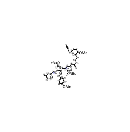 C#CC[C@@H]1C=C[C@H](OC)[C@@H](CCCC(=C)CC(/C=C/C[C@H](OCc2ccc(OC)cc2)[C@H](/C=C/[C@@H]2CC(C)=CCO2)O[Si](C)(C)C(C)(C)C)O[Si](C)(C)C(C)(C)C)O1